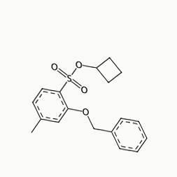 Cc1ccc(S(=O)(=O)OC2CCC2)c(OCc2ccccc2)c1